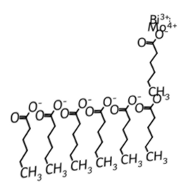 CCCCCC(=O)[O-].CCCCCC(=O)[O-].CCCCCC(=O)[O-].CCCCCC(=O)[O-].CCCCCC(=O)[O-].CCCCCC(=O)[O-].CCCCCC(=O)[O-].[Bi+3].[Mo+4]